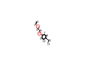 C=COCCOc1ccc(CC)cc1